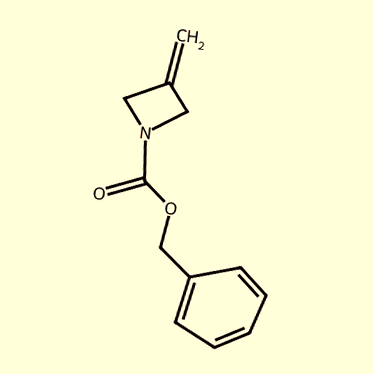 C=C1CN(C(=O)OCc2ccccc2)C1